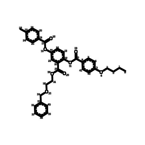 CCCCOc1ccc(C(=O)Oc2ccc(OC(=O)c3ccc(C)cc3)cc2C(=O)OCCOCc2ccccc2)cc1